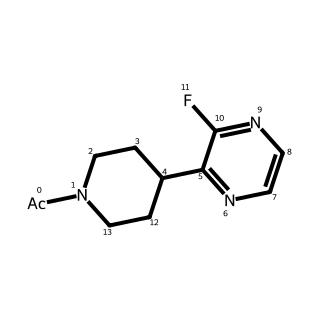 CC(=O)N1CCC(c2nccnc2F)CC1